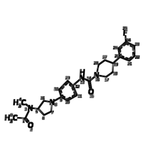 CC(=O)N(C)C1CCN(c2ccc(NC(=O)N3CCC(c4cccc(F)c4)CC3)cc2)C1